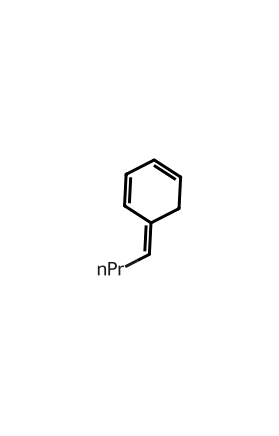 CCC/C=C1\C=CC=CC1